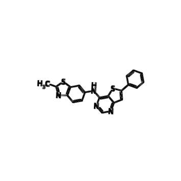 Cc1nc2ccc(Nc3ncnc4cc(-c5ccccc5)sc34)cc2s1